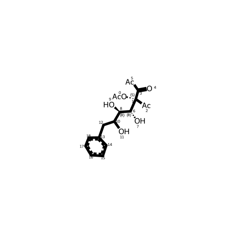 CC(=O)O[C@@](C(C)=O)(C(=O)C(C)=O)[C@H](O)[C@H](O)C(O)Cc1ccccc1